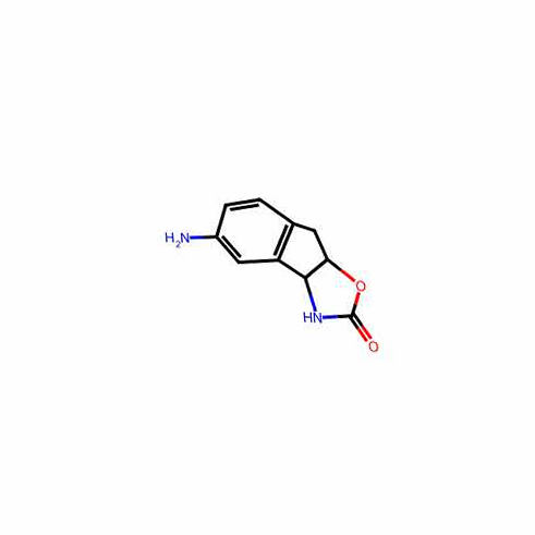 Nc1ccc2c(c1)C1NC(=O)OC1C2